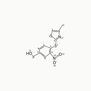 Cc1csc(Sc2ccc(CO)cc2[N+](=O)[O-])n1